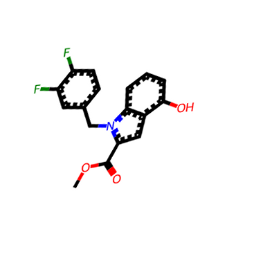 COC(=O)c1cc2c(O)cccc2n1Cc1ccc(F)c(F)c1